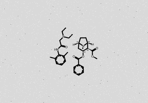 CCN(CC)CC(=O)Nc1c(C)cccc1C.COC(=O)[C@H]1[C@@H](OC(=O)c2ccccc2)C[C@@H]2CC[C@H]1N2C